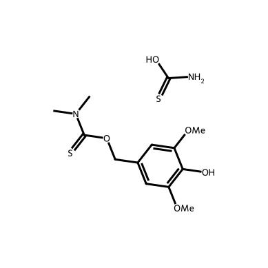 COc1cc(COC(=S)N(C)C)cc(OC)c1O.NC(O)=S